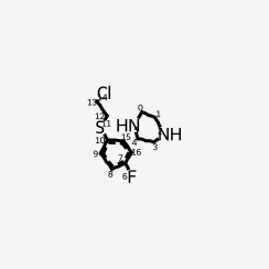 C1CNCCN1.Fc1ccc(SCCCl)cc1